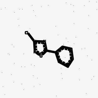 Clc1noc(-c2ccccc2)n1